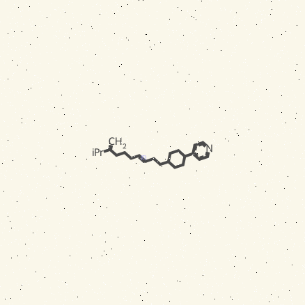 C=C(CCC/C=C/CCC1CCC(c2ccncc2)CC1)C(C)C